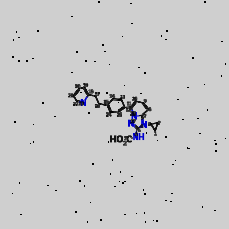 C1CC1.O=C(O)Nc1nc2cccc(-c3ccc(CCc4ccccn4)cc3)n2n1